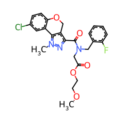 COCCOC(=O)CN(Cc1ccccc1F)C(=O)c1nn(C)c2c1COc1ccc(Cl)cc1-2